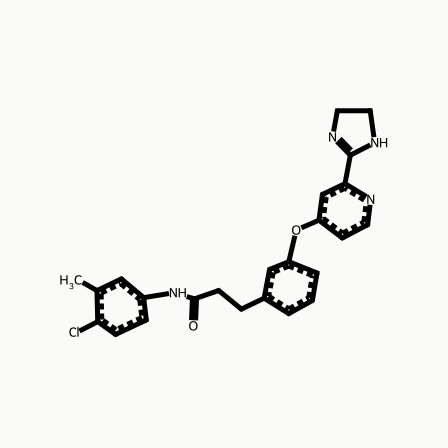 Cc1cc(NC(=O)CCc2cccc(Oc3ccnc(C4=NCCN4)c3)c2)ccc1Cl